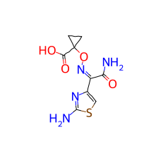 NC(=O)C(=NOC1(C(=O)O)CC1)c1csc(N)n1